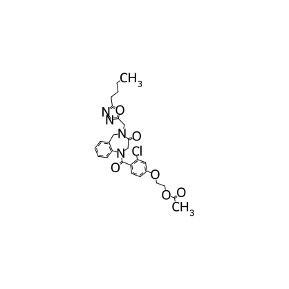 CCCCc1nnc(CN2Cc3ccccc3N(C(=O)c3ccc(OCCOC(C)=O)cc3Cl)CC2=O)o1